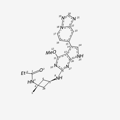 CCC(=O)N[C@]1(C)C[C@@H](Nc2nc(OC)c3c(-c4ccn5ncnc5c4)c[nH]c3n2)C1